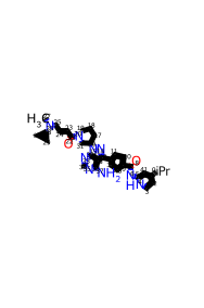 CC(C)c1ccnc(NC(=O)c2ccc(-c3nn([C@@H]4CCCN(C(=O)C=CCN(C)C5CC5)C4)c4ncnc(N)c34)cc2)c1